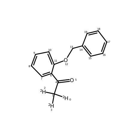 [2H]C([2H])([2H])C(=O)c1ccccc1OCc1ccccc1